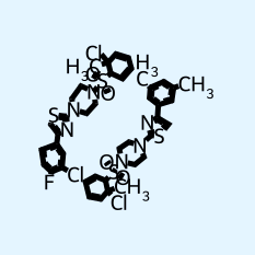 CC1(Cl)C=CC=CC1S(=O)(=O)N1CCN(c2nc(-c3ccc(F)c(Cl)c3)cs2)CC1.Cc1cc(C)cc(-c2csc(N3CCN(S(=O)(=O)C4C=CC=CC4(C)Cl)CC3)n2)c1